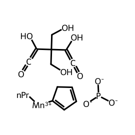 CC[CH2][Mn+3][C]1=CC=CC1.O=C=C(O)C(CO)(CO)C(O)=C=O.[O-]P([O-])[O-]